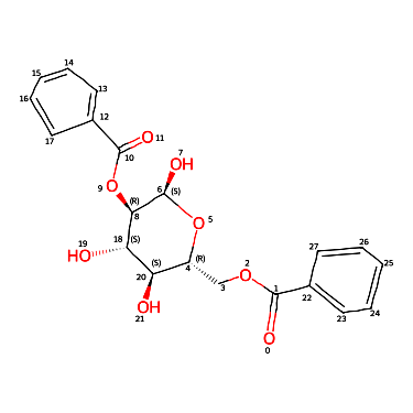 O=C(OC[C@H]1O[C@H](O)[C@H](OC(=O)c2ccccc2)[C@@H](O)[C@@H]1O)c1ccccc1